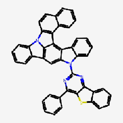 c1ccc(-c2nc(-n3c4ccccc4c4c5c6c7ccccc7ccc6n6c7ccccc7c(cc43)c56)nc3c2sc2ccccc23)cc1